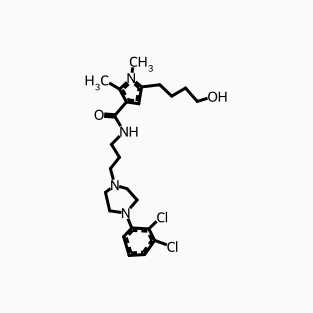 Cc1c(C(=O)NCCCN2CCN(c3cccc(Cl)c3Cl)CC2)cc(CCCCO)n1C